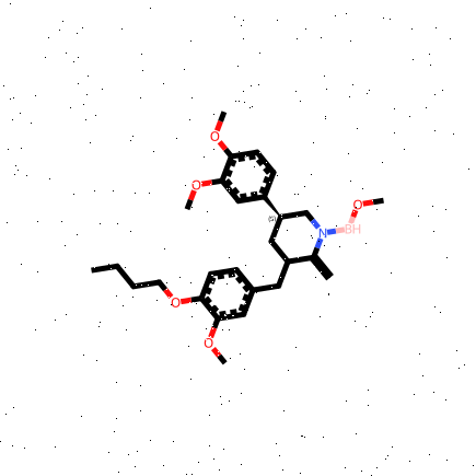 C=C1C(Cc2ccc(OCCCC)c(OC)c2)C[C@@H](c2ccc(OC)c(OC)c2)CN1BOC